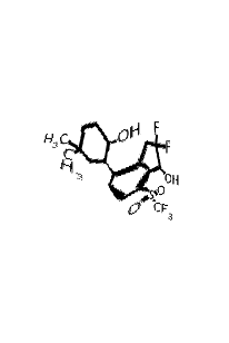 CC1(C)CC[C@@H](O)[C@@H](c2ccc(S(=O)(=O)C(F)(F)F)c3c2CC(F)(F)[C@H]3O)C1